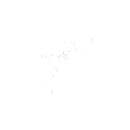 CC1(C)CCC(CN2CCN(c3ccc(C(=O)NS(=O)(=O)c4cc5c(c([N+](=O)[O-])c4)N[C@@H](CC4CCC(O)CC4)CO5)c(Oc4cnc5[nH]ccc5c4)c3)CC2)=C(c2ccc(Cl)cc2)C1